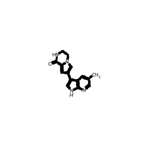 Cc1cnc2[nH]cc(-c3cc4n(c3)CCNC4=O)c2c1